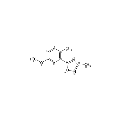 COc1ccc(C)c(-c2nc(C)no2)c1